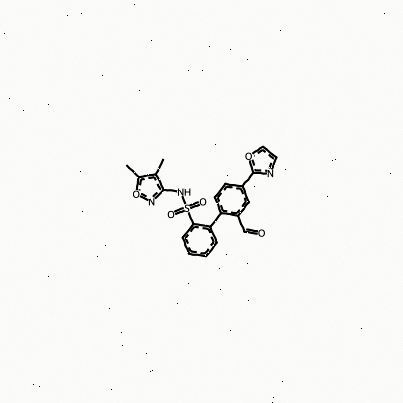 Cc1onc(NS(=O)(=O)c2ccccc2-c2ccc(-c3ncco3)cc2C=O)c1C